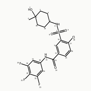 CC1(O)CCC(NS(=O)(=O)c2cc(C(=O)Nc3cc(F)c(F)c(F)c3)ccc2Cl)CC1